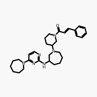 O=C(C=Cc1ccccc1)N1CCCC(N2CCCCC(Nc3nccc(N4CCCCCC4)n3)C2)C1